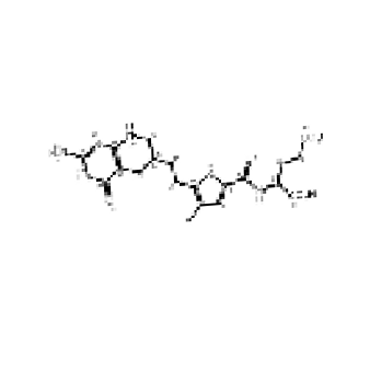 Cc1cc(C(=O)NC(CCC(=O)O)C(=O)O)sc1CC[C@@H]1CNc2nc(N)[nH]c(=O)c2C1